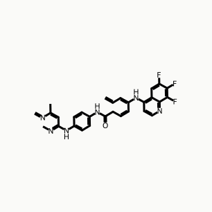 C=C/C=C(\C=C/CC(=O)Nc1ccc(NC(/C=C(/C)N=C)=N/C)cc1)Nc1ccnc2c(F)c(F)c(F)cc12